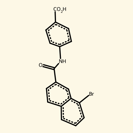 O=C(O)c1ccc(NC(=O)c2ccc3cccc(Br)c3c2)cc1